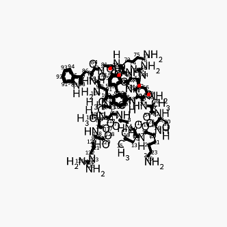 CC(C)C[C@H](NC(=O)CNC(=O)[C@H](CC(C)C)NC(=O)[C@H](CCCCN)NC(=O)[C@H](CO)NC(=O)[C@H](C)NC(=O)[C@H](CCCN=C(N)N)NC(=O)[C@H](Cc1ccc(O)cc1)NC(=O)[C@H](CCCCN)NC(=O)[C@H](CCCCN)NC(=O)CNC(=O)[C@H](Cc1c[nH]c2ccccc12)NC(=O)[C@@H](N)Cc1c[nH]c2ccccc12)C(=O)N[C@@H](C)C(=O)N[C@@H](CCCN=C(N)N)C(=O)O